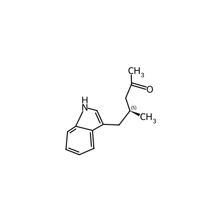 CC(=O)C[C@@H](C)Cc1c[nH]c2ccccc12